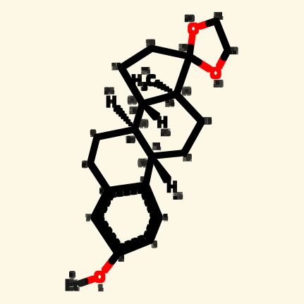 CCOc1ccc2c(c1)CC[C@@H]1[C@@H]2CC[C@@]2(C)[C@H]1CCC21OCCO1